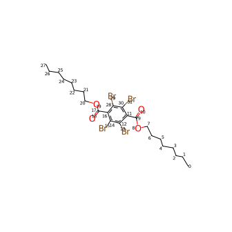 CCCCCCCCOC(=O)c1c(Br)c(Br)c(C(=O)OCCCCCCCC)c(Br)c1Br